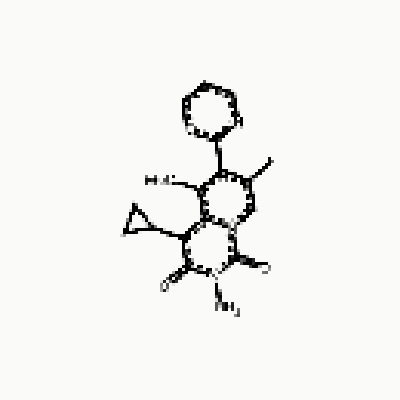 COc1c(-c2ncccn2)c(F)cn2c(=O)n(N)c(=O)c(C3CC3)c12